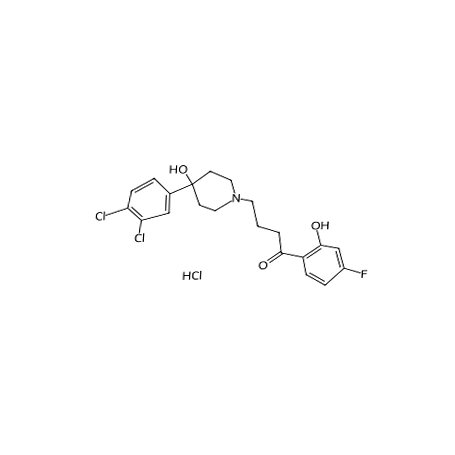 Cl.O=C(CCCN1CCC(O)(c2ccc(Cl)c(Cl)c2)CC1)c1ccc(F)cc1O